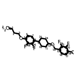 C=CCCOc1ccc(C2CCC(OCc3ccc(C)c(F)c3F)CC2)c(F)c1F